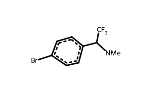 CNC(c1ccc(Br)cc1)C(F)(F)F